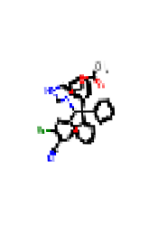 CC(=O)OCC1=CNCN1C(c1ccc(C#N)c(Br)c1)C(c1ccccc1)(c1ccccc1)c1ccccc1